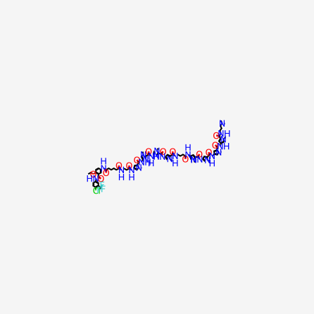 CCOc1ccc(NC(=O)CCCCC(=O)NCCC(=O)Nc2cc(C(=O)Nc3cn(C)c(C(=O)Nc4cn(C)c(C(=O)Nc5cc(C(=O)NCCCC(=O)Nc6cc(C(=O)Nc7cc(C(=O)Nc8cc(C(=O)Nc9cc(C(=O)NCCCN(C)C)n(C)c9)n(C)c8)n(C)c7)n(C)c6)n(C)c5)n4)n3)n(C)c2)cc1C(=O)Nc1ccc(Cl)c(C(F)(F)F)c1